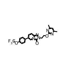 Cc1cc(C)nc(OCCn2nc3ccc(-c4ccc(OC(F)(F)F)cc4)cn3c2=O)n1